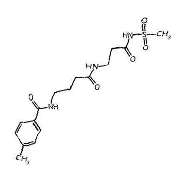 Cc1ccc(C(=O)NCCCC(=O)NCCC(=O)NS(C)(=O)=O)cc1